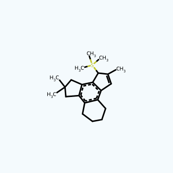 CC1=Cc2c3c(c4c(c2C1S(C)(C)C)CC(C)(C)C4)CCCC3